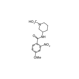 COc1ccc(C(=O)NC2CCCN(C(=O)O)C2)c([N+](=O)[O-])c1